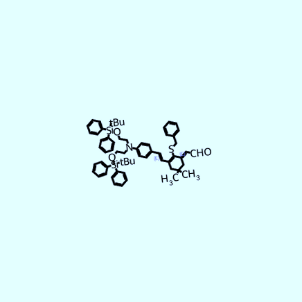 CC1(C)CC(/C=C/c2ccc(N(CCO[Si](c3ccccc3)(c3ccccc3)C(C)(C)C)CCO[Si](c3ccccc3)(c3ccccc3)C(C)(C)C)cc2)=C(SCc2ccccc2)C(=C/C=O)/C1